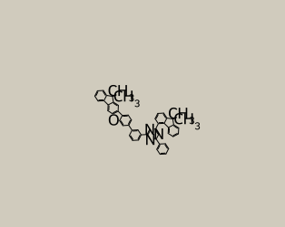 CC1(C)c2ccccc2-c2cc3oc4cc(-c5cccc(-c6nc(-c7ccccc7)nc(-c7cccc8c7-c7ccccc7C8(C)C)n6)c5)ccc4c3cc21